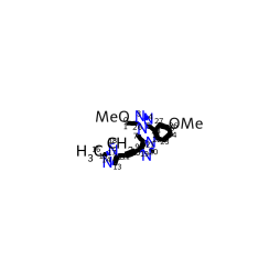 COCc1nnc2n1Cc1c(C#Cc3cnc(C)n3C)ncn1-c1ccc(OC)cc1-2